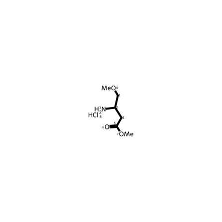 COCC(N)CC(=O)OC.Cl